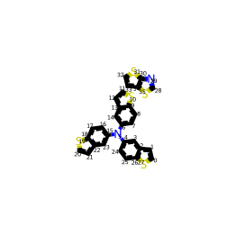 c1cc2cc(N(c3ccc4sccc4c3)c3ccc4sccc4c3)ccc2s1.c1nc2sccc2s1